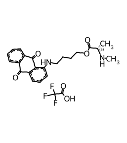 CN[C@@H](C)C(=O)OCCCCNc1cccc2c1C(=O)c1ccccc1C2=O.O=C(O)C(F)(F)F